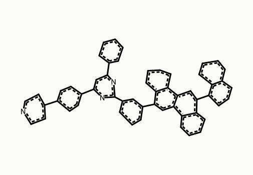 c1ccc(-c2cc(-c3ccc(-c4ccncc4)cc3)nc(-c3cccc(-c4cc5c6ccccc6c(-c6cccc7ccccc67)cc5c5ccccc45)c3)n2)cc1